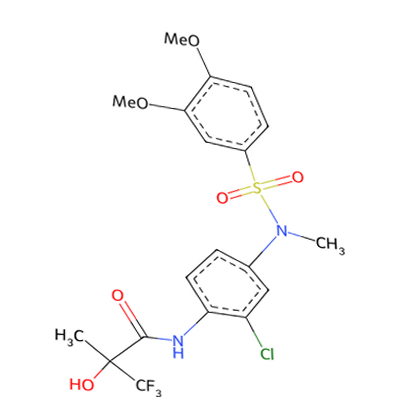 COc1ccc(S(=O)(=O)N(C)c2ccc(NC(=O)C(C)(O)C(F)(F)F)c(Cl)c2)cc1OC